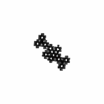 c1ccc(-c2ccccc2-c2c3ccc(-c4ccc(N(c5ccccc5)c5ccccc5)cc4)cc3c(-c3ccccc3-c3ccccc3)c3ccc(-c4ccc(N(c5ccccc5)c5ccccc5)cc4)cc23)cc1